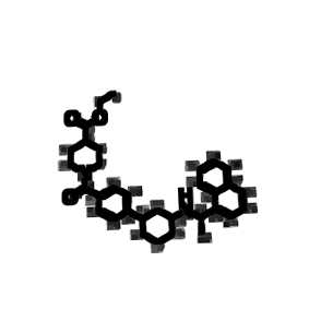 CCOC(=O)C1CCN(C(=O)c2ccc(C3CCCC(N[C@H](C)c4cccc5ccccc45)C3)cc2)CC1